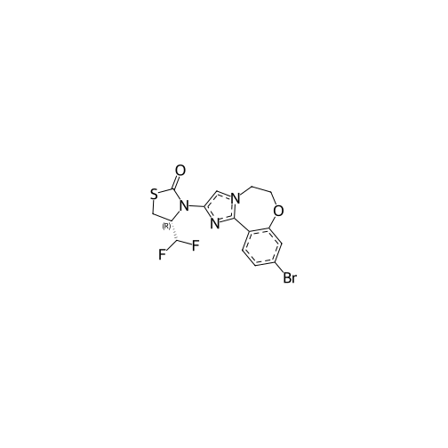 O=C1SC[C@@H](C(F)F)N1c1cn2c(n1)-c1ccc(Br)cc1OCC2